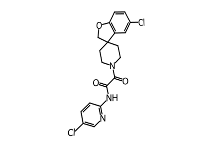 O=C(Nc1ccc(Cl)cn1)C(=O)N1CCC2(CC1)COc1ccc(Cl)cc12